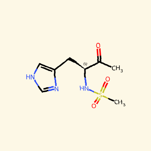 CC(=O)[C@H](Cc1c[nH]cn1)NS(C)(=O)=O